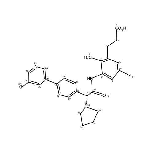 Cc1c(CCC(=O)O)cc(F)cc1NC(=O)[C@@H](c1ccc(-c2cncc(Cl)c2)cc1)C1CCCC1